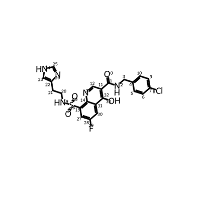 O=C(NCc1ccc(Cl)cc1)c1cnc2c(S(=O)(=O)NCCc3c[nH]cn3)cc(F)cc2c1O